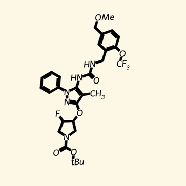 COCc1ccc(OC(F)(F)F)c(CNC(=O)Nc2c(C)c(OC3CN(C(=O)OC(C)(C)C)CC3F)nn2-c2ccccc2)c1